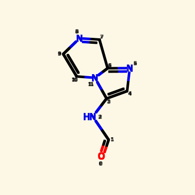 O=CNc1cnc2cnccn12